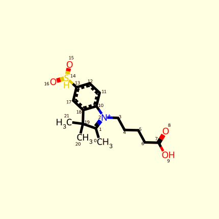 CC1=[N+](CCCCC(=O)O)c2ccc([SH](=O)=O)cc2C1(C)C